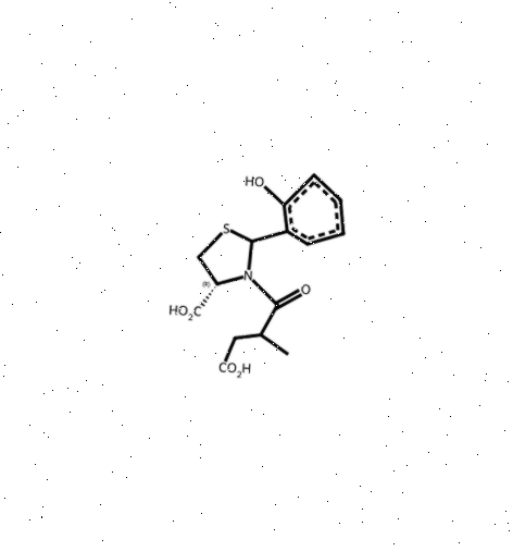 CC(CC(=O)O)C(=O)N1C(c2ccccc2O)SC[C@H]1C(=O)O